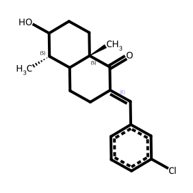 C[C@@H]1C(O)CC[C@]2(C)C(=O)/C(=C/c3cccc(Cl)c3)CCC12